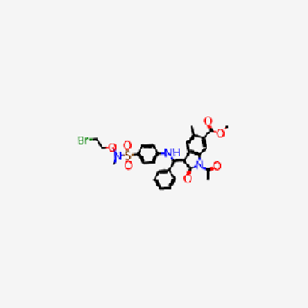 COC(=O)c1cc2c(cc1C)C(=C(Nc1ccc(S(=O)(=O)N(C)OCCBr)cc1)c1ccccc1)C(=O)N2C(C)=O